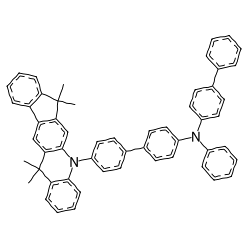 CC1(C)c2ccccc2-c2cc3c(cc21)N(c1ccc(-c2ccc(N(c4ccccc4)c4ccc(-c5ccccc5)cc4)cc2)cc1)c1ccccc1C3(C)C